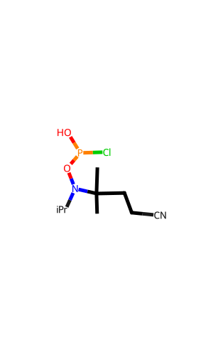 CC(C)N(OP(O)Cl)C(C)(C)CCC#N